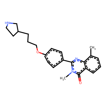 Cc1cccc2c(=O)n(C)c(-c3ccc(OCCCC4CCNC4)cc3)nc12